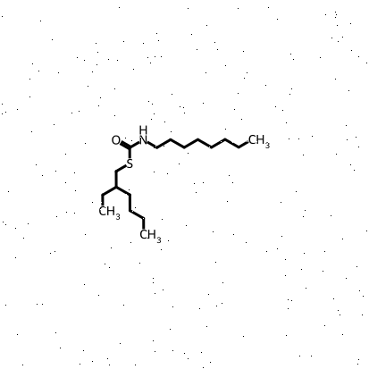 CCCCCCCCNC(=O)SCC(CC)CCCC